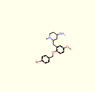 COc1ccc(OCc2ccc(Br)cc2)c(CC2CC(N)CCN2C)c1